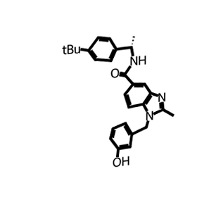 Cc1nc2cc(C(=O)N[C@@H](C)c3ccc(C(C)(C)C)cc3)ccc2n1Cc1cccc(O)c1